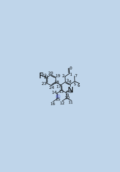 C=CCc1c(C(C)C)nc(C(C)C)c(/C=C/C)c1-c1ccc(F)cc1